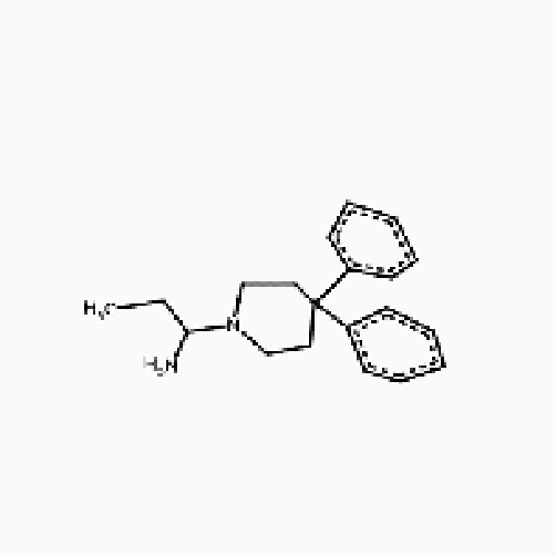 CCC(N)N1CCC(c2ccccc2)(c2ccccc2)CC1